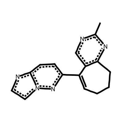 Cc1ncc2c(n1)CCCC=C2c1ccc2nccn2n1